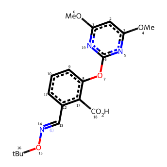 COc1cc(OC)nc(Oc2cccc(/C=N/OC(C)(C)C)c2C(=O)O)n1